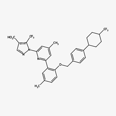 Cc1cc(-c2cc(C)ccc2OCc2ccc(C3CCC(C(F)(F)F)CC3)cc2)nc(-n2ncc(C(=O)O)c2C(F)(F)F)c1